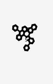 c1ccc(-c2c3ccccc3c(-c3sc4c(-c5ccccc5)cccc4c3-c3ccc4ccccc4c3)c3ccccc23)cc1